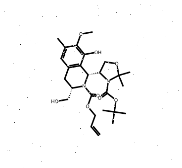 C=CCOC(=O)N1[C@H](CO)Cc2cc(C)c(OC)c(O)c2[C@@H]1C1COC(C)(C)N1C(=O)OC(C)(C)C